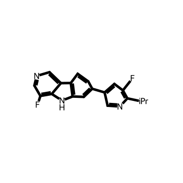 CC(C)c1ncc(-c2ccc3c(c2)[nH]c2c(F)cncc23)cc1F